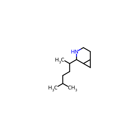 CC(C)CCC(C)C1NCCC2CC21